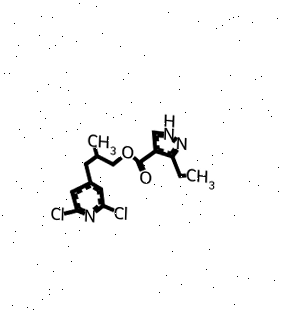 CCc1n[nH]cc1C(=O)OCC(C)Cc1cc(Cl)nc(Cl)c1